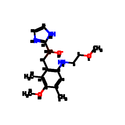 COCCNc1cc(C)c(OC)c(C)c1C[S+]([O-])c1ncc[nH]1